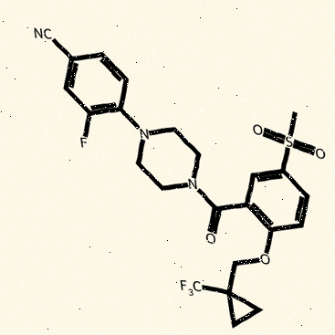 CS(=O)(=O)c1ccc(OCC2(C(F)(F)F)CC2)c(C(=O)N2CCN(c3ccc(C#N)cc3F)CC2)c1